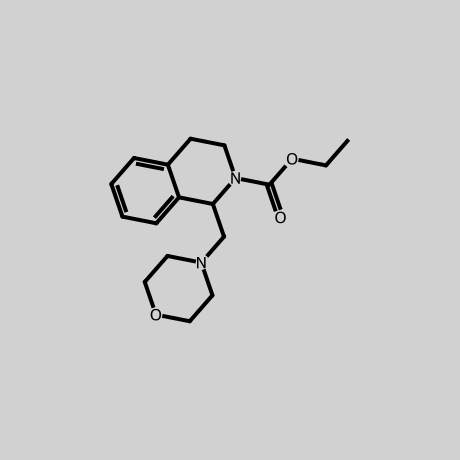 CCOC(=O)N1CCc2ccccc2C1CN1CCOCC1